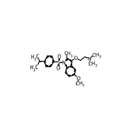 COc1ccc2c(c1)c(OCCN(C)C)c(C)n2S(=O)(=O)c1ccc(C(C)C)cc1